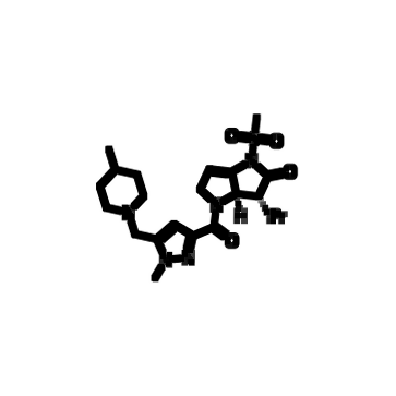 CC1CCN(Cc2cc(C(=O)N3CC=C4[C@H]3[C@@H](C(C)C)C(=O)N4S(C)(=O)=O)nn2C)CC1